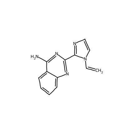 C=Cn1ccnc1-c1nc(N)c2ccccc2n1